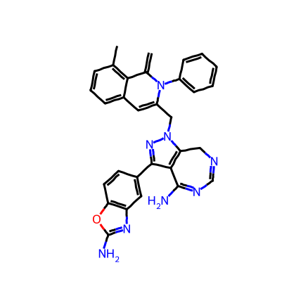 C=C1c2c(C)cccc2C=C(Cn2nc(-c3ccc4oc(N)nc4c3)c3c2CN=CN=C3N)N1c1ccccc1